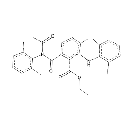 CCOC(=O)c1c(C(=O)N(C(C)=O)c2c(C)cccc2C)ccc(C)c1Nc1c(C)cccc1C